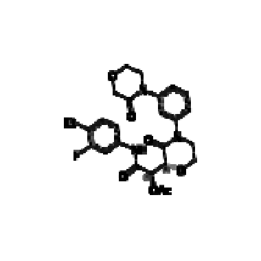 CCc1ccc(NC(=O)[C@H](OC(C)=O)[C@H]2OCCN(c3cccc(N4CCOCC4=O)c3)C2=O)cc1F